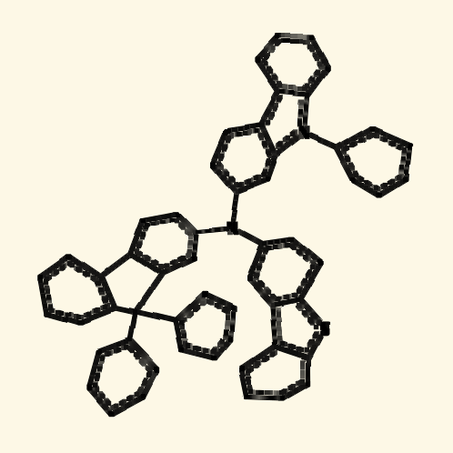 c1ccc(-n2c3ccccc3c3ccc(N(c4ccc5c(c4)C(c4ccccc4)(c4ccccc4)c4ccccc4-5)c4ccc5sc6ccccc6c5c4)cc32)cc1